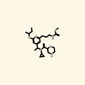 C=C(NCCCc1cc(C(C)N(C(=C)C2CNCCO2)C2CC2)cc(OC(C)CC)n1)OC